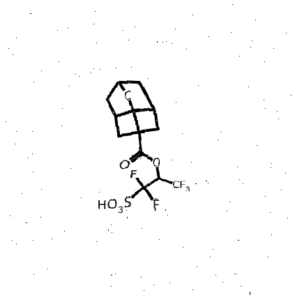 O=C(OC(C(F)(F)F)C(F)(F)S(=O)(=O)O)C12CC3CC4CC(C1)C32C4